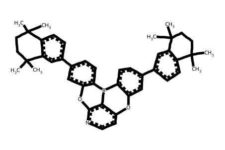 CC1(C)CCC(C)(C)c2cc(-c3ccc4c(c3)Oc3ccnc5c3B4c3ccc(-c4ccc6c(c4)C(C)(C)CCC6(C)C)cc3O5)ccc21